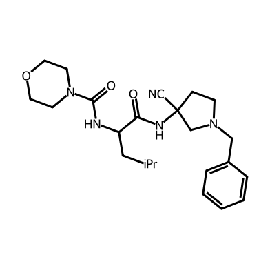 CC(C)CC(NC(=O)N1CCOCC1)C(=O)NC1(C#N)CCN(Cc2ccccc2)C1